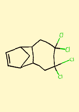 ClC1(Cl)CC2C3C=CC(C3)C2CC1(Cl)Cl